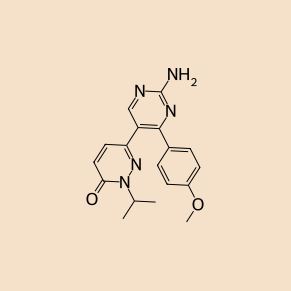 COc1ccc(-c2nc(N)ncc2-c2ccc(=O)n(C(C)C)n2)cc1